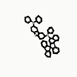 C1=C(N(c2ccccc2)c2ccccc2)CCc2sc3ccc(N(c4ccccc4)c4cc5c(c6ccccc46)-c4ccccc4C54c5ccccc5-c5ccccc54)cc3c21